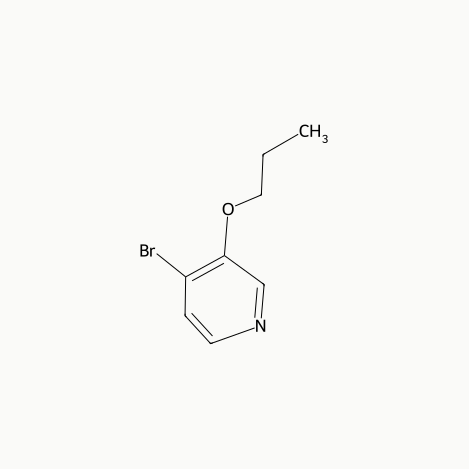 CCCOc1cnccc1Br